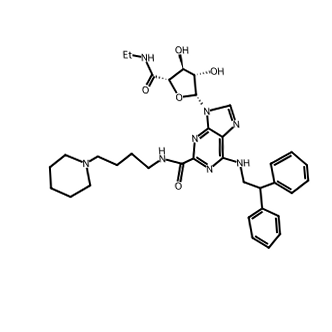 CCNC(=O)[C@H]1O[C@@H](n2cnc3c(NCC(c4ccccc4)c4ccccc4)nc(C(=O)NCCCCN4CCCCC4)nc32)[C@@H](O)[C@@H]1O